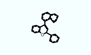 C1=C(c2cccc3ccccc23)c2ccccc2OC1c1ccccc1